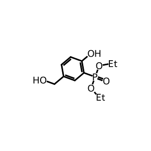 CCOP(=O)(OCC)c1cc(CO)ccc1O